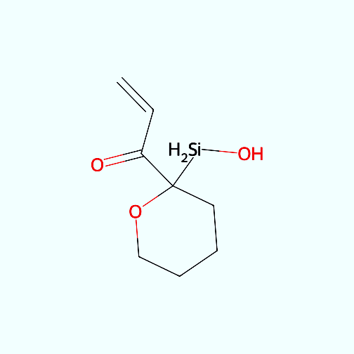 C=CC(=O)C1([SiH2]O)CCCCO1